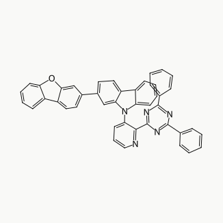 c1ccc(-c2nc(-c3ccccc3)nc(-c3ncccc3-n3c4ccccc4c4ccc(-c5ccc6c(c5)oc5ccccc56)cc43)n2)cc1